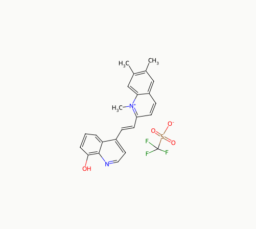 Cc1cc2ccc(C=Cc3ccnc4c(O)cccc34)[n+](C)c2cc1C.O=S(=O)([O-])C(F)(F)F